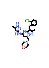 Cc1cc(Nc2cc(CN3CCOCC3)n3nc(C)c(Cc4ccccc4Cl)c3n2)n[nH]1